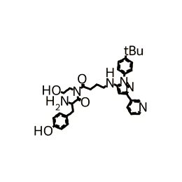 CC(C)(C)c1ccc(-n2nc(-c3cccnc3)cc2NCCCC(=O)N(CCO)C(=O)C(N)Cc2ccc(O)cc2)cc1